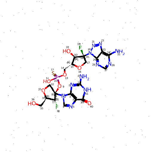 Nc1nc2c(ncn2[C@@]2(OP(O)(=S)OC[C@H]3OC[C@@](F)(n4nnc5c(N)ncnc54)[C@@H]3O)CO[C@H](CO)[C@H]2F)c(=O)[nH]1